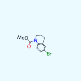 COC(=O)N1CCCc2cc(Br)ccc21